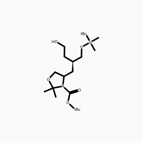 CC(C)(C)OC(=O)N1C(C[C@@H](CCO)CO[Si](C)(C)C(C)(C)C)COC1(C)C